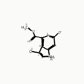 COC(=O)c1nc(Cl)cc2[nH]cc(Cl)c12